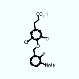 CNc1cccc(COc2c(Cl)cc(CCC(=O)O)cc2Cl)c1F